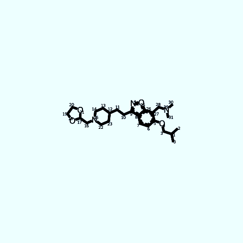 CC(C)COc1ccc2c(CCC3CCN(CC4OCCO4)CC3)noc2c1CN(C)C